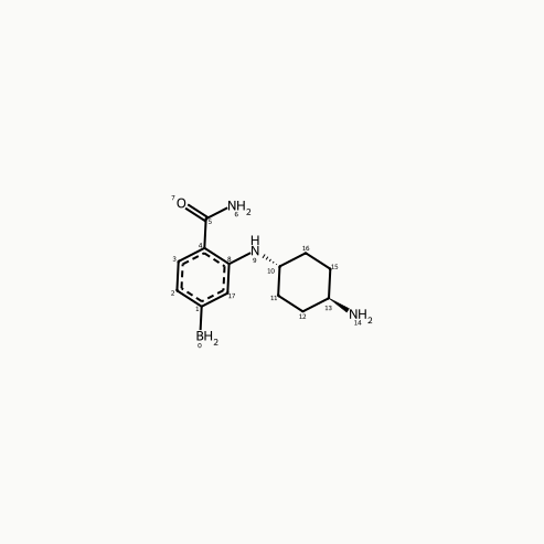 Bc1ccc(C(N)=O)c(N[C@H]2CC[C@H](N)CC2)c1